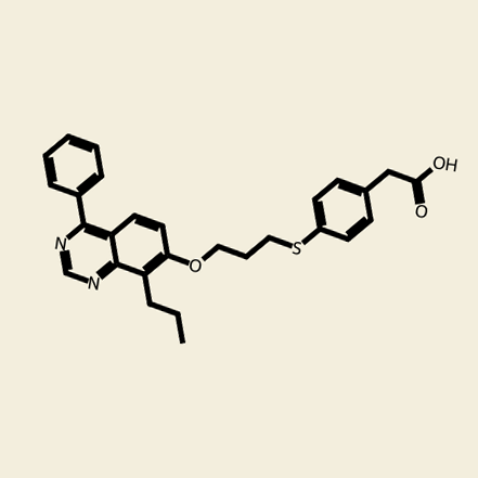 CCCc1c(OCCCSc2ccc(CC(=O)O)cc2)ccc2c(-c3ccccc3)ncnc12